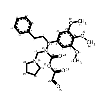 COc1cc(N(CCc2ccccc2)N(CN2CCCC2)C(=O)OC(=O)[C]=O)cc(OC)c1OC